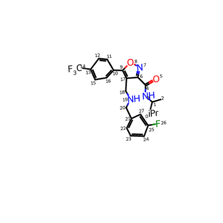 CC(C)C(C)NC(=O)c1noc(-c2ccc(C(F)(F)F)cc2)c1CNCc1cccc(F)c1